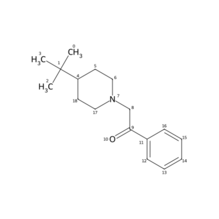 CC(C)(C)C1CCN(CC(=O)c2ccccc2)CC1